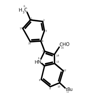 Cc1ccc(-c2[nH]c3ccc(C(C)(C)C)cc3c2C=O)cc1